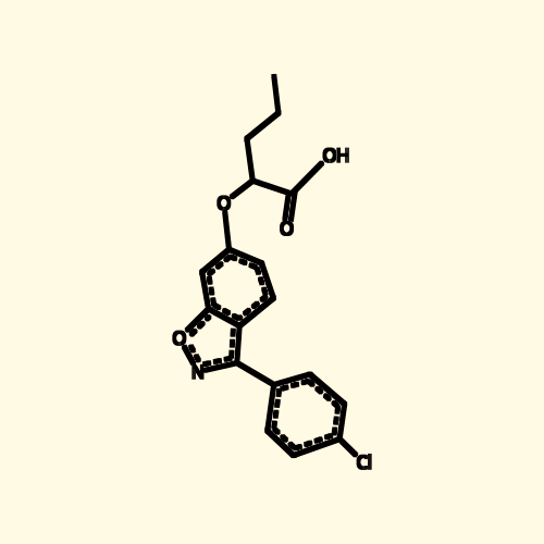 CCCC(Oc1ccc2c(-c3ccc(Cl)cc3)noc2c1)C(=O)O